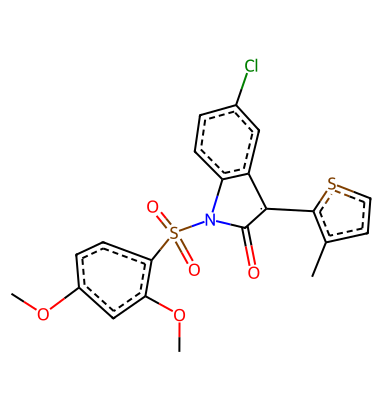 COc1ccc(S(=O)(=O)N2C(=O)[C](c3sccc3C)c3cc(Cl)ccc32)c(OC)c1